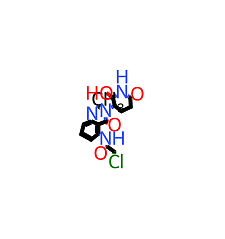 Cc1nc2cccc(NC(=O)CCl)c2c(=O)n1C1CCC(=O)NC1O